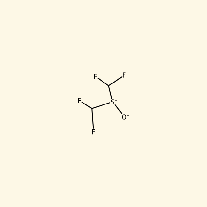 [O-][S+](C(F)F)C(F)F